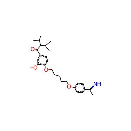 COc1cc(C(=O)C(C(C)C)C(C)C)ccc1OCCCCCOc1ccc(C(C)=N)cc1